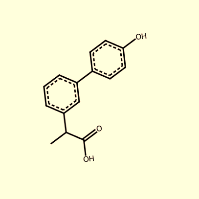 CC(C(=O)O)c1cccc(-c2ccc(O)cc2)c1